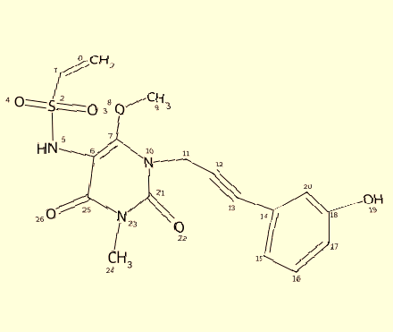 C=CS(=O)(=O)Nc1c(OC)n(CC#Cc2cccc(O)c2)c(=O)n(C)c1=O